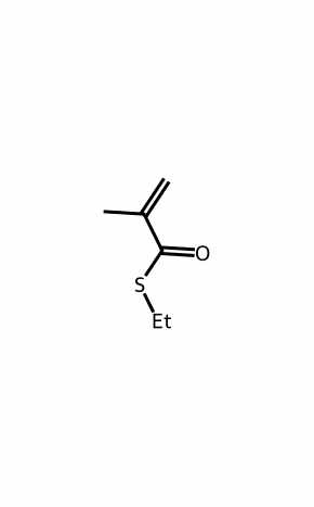 C=C(C)C(=O)SCC